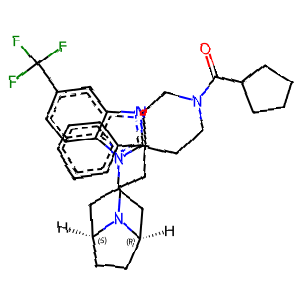 O=C(C1CCCC1)N1CCC(CCN2[C@@H]3CC[C@H]2CC(n2cnc4cc(C(F)(F)F)ccc42)C3)(c2ccccc2)CC1